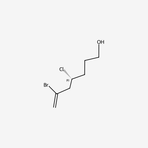 C=C(Br)C[C@H](Cl)CCCO